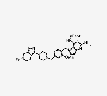 CCCCCNc1nc(N)nc2ccn(Cc3ccc(CN4CCC(c5nnc6n5CCN(CC)C6)CC4)cc3OC)c12